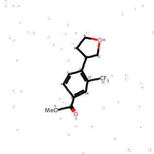 COC(=O)c1ccc(C2CCOC2)c(C(F)(F)F)c1